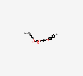 CCCC1CCC(c2ccc(OCCCCCCOC(=O)CCC(=O)OCCCCCCOC)cc2)CC1